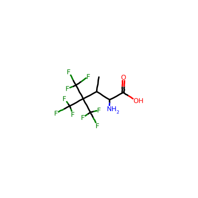 CC(C(N)C(=O)O)C(C(F)(F)F)(C(F)(F)F)C(F)(F)F